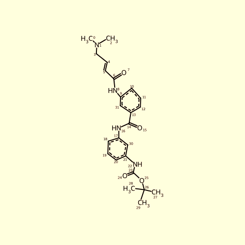 CN(C)C/C=C/C(=O)Nc1cccc(C(=O)Nc2cccc(NC(=O)OC(C)(C)C)c2)c1